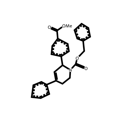 COC(=O)c1ccc(C2C=C(c3ccccc3)CCN2C(=O)OCc2ccccc2)cc1